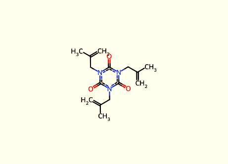 C=C(C)Cn1c(=O)n(CC(=C)C)c(=O)n(CC(=C)C)c1=O